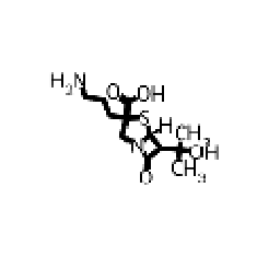 CC(C)(O)C1C(=O)N2CC(CCCN)(C(=O)O)S[C@H]12